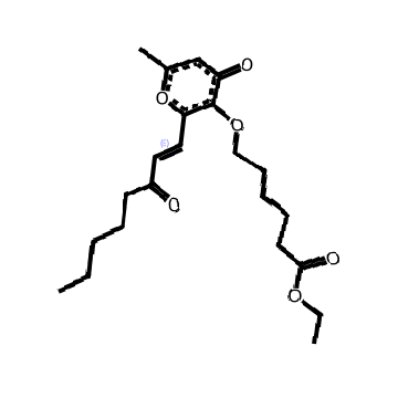 CCCCCC(=O)/C=C/c1oc(C)cc(=O)c1OCCCCCC(=O)OCC